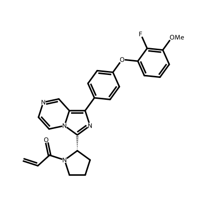 C=CC(=O)N1CCC[C@H]1c1nc(-c2ccc(Oc3cccc(OC)c3F)cc2)c2cnccn12